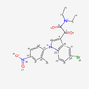 CCN(CC)C(=O)C(=O)c1cn(-c2ccc([N+](=O)[O-])cc2C)c2ccc(Br)cc12